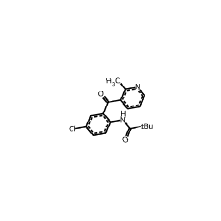 Cc1ncccc1C(=O)c1cc(Cl)ccc1NC(=O)C(C)(C)C